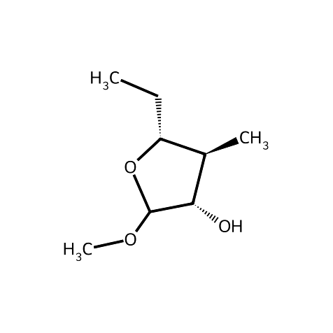 CC[C@H]1OC(OC)[C@@H](O)[C@@H]1C